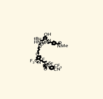 C=N/C(=C(F)\C=C(/C)N1C(=S)N(c2ccc(C#N)c(C(F)(F)F)c2F)C(=O)C1(C)C)c1ccc(OCCCCOCC(=O)N[C@H](C(=O)N2C[C@H](O)C[C@H]2c2nc(-c3ccc(C(=O)NC)cc3)c[nH]2)C(C)(C)C)cc1C(F)(F)F